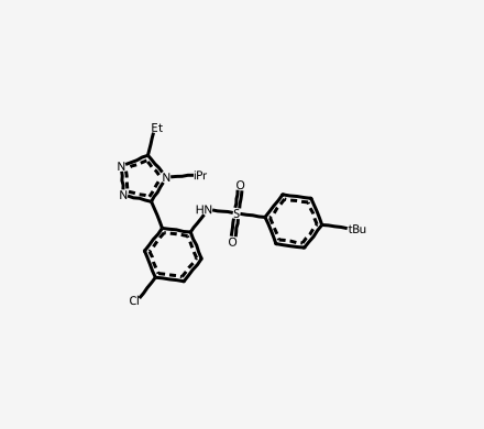 CCc1nnc(-c2cc(Cl)ccc2NS(=O)(=O)c2ccc(C(C)(C)C)cc2)n1C(C)C